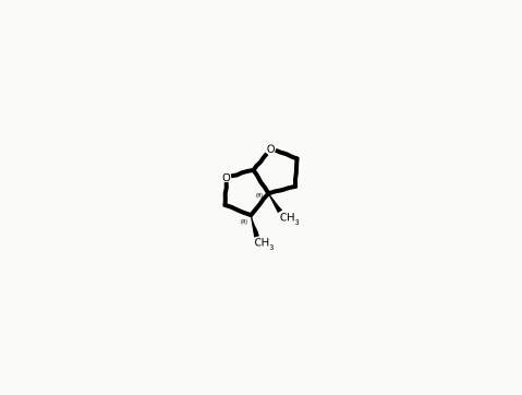 C[C@H]1COC2OCC[C@@]21C